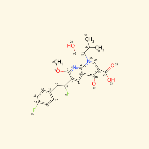 COc1nc2c(cc1C(F)Cc1ccc(F)cc1)c(=O)c(C(=O)O)cn2C(CO)C(C)C